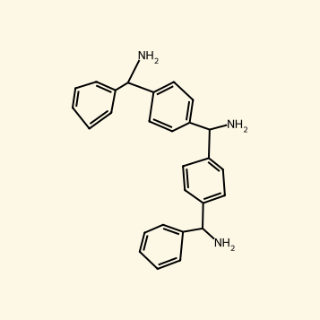 NC(c1ccccc1)c1ccc(C(N)c2ccc(C(N)c3ccccc3)cc2)cc1